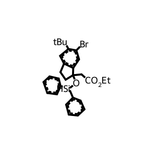 CCOC(=O)CC1(O[SiH](c2ccccc2)c2ccccc2)CCc2cc(C(C)(C)C)c(Br)cc21